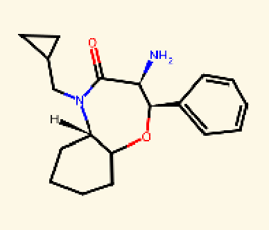 N[C@@H]1C(=O)N(CC2CC2)[C@H]2CCCCC2O[C@@H]1c1ccccc1